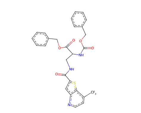 O=C(NC(CNC(=O)c1cc2nccc(C(F)(F)F)c2s1)C(=O)OCc1ccccc1)OCc1ccccc1